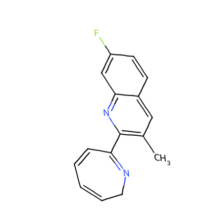 Cc1cc2ccc(F)cc2nc1C1=NCC=CC=C1